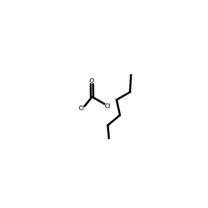 CCCCCC.O=C(Cl)Cl